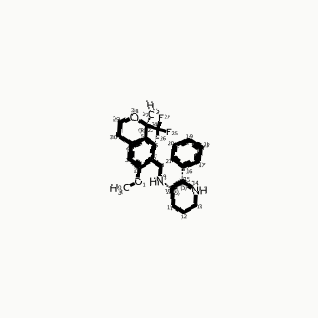 COc1cc2c(cc1CN[C@H]1CCCN[C@H]1c1ccccc1)[C@](C)(C(F)(F)F)OCC2